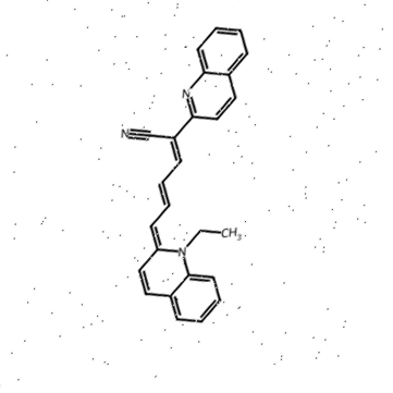 CCN1C(=CC=CC=C(C#N)c2ccc3ccccc3n2)C=Cc2ccccc21